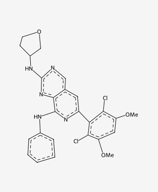 COc1cc(OC)c(Cl)c(-c2cc3cnc(NC4CCOC4)nc3c(Nc3ccccc3)n2)c1Cl